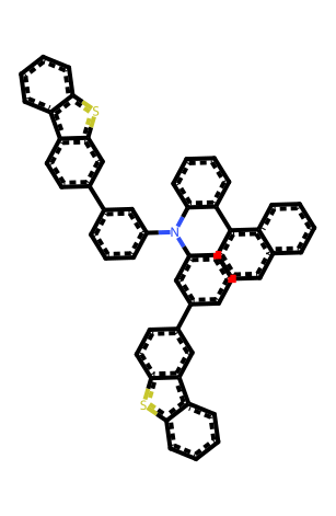 c1cc(-c2ccc3c(c2)sc2ccccc23)cc(N(c2cccc(-c3ccc4sc5ccccc5c4c3)c2)c2ccccc2-c2cccc3ccccc23)c1